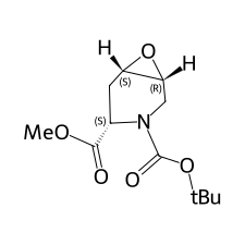 COC(=O)[C@@H]1C[C@@H]2O[C@@H]2CN1C(=O)OC(C)(C)C